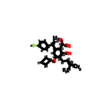 C=C(c1ccc(F)cc1)c1cc(OC2CCC2)c(CC=C(C)C)c(O)c1C(=O)O